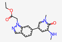 CCOC(=O)Cn1ncc2ccc(-c3cc(NC)c(=O)n(C)c3)cc21